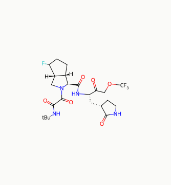 CC(C)(C)NC(=O)C(=O)N1C[C@@H]2C(F)CC[C@@H]2[C@H]1C(=O)N[C@@H](C[C@@H]1CCNC1=O)C(=O)COC(F)(F)F